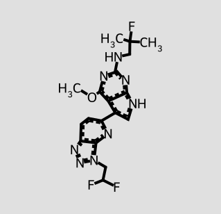 COc1nc(NCC(C)(C)F)nc2[nH]cc(-c3ccc4nnn(CC(F)F)c4n3)c12